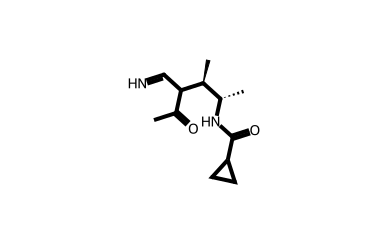 CC(=O)C(C=N)[C@@H](C)[C@H](C)NC(=O)C1CC1